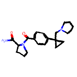 NC(=O)C1[CH]CCN1C(=O)c1ccc(C2(CN3CCCC3)CC2)cc1